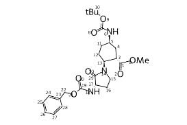 COC(=O)[C@H]1C[C@H](NC(=O)OC(C)(C)C)CC[C@@H]1N1CC[C@H](NC(=O)OCc2ccccc2)C1=O